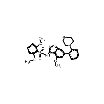 COc1cccc(OC)c1S(=O)(=O)Nc1noc2cc(-c3ccccc3N3CCNCC3)cc(OC)c12